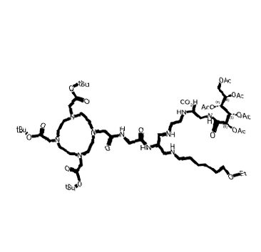 CCOCCCCCCNCC(CNCCNC(CNC(=O)[C@H](OC(C)=O)[C@@H](OC(C)=O)[C@H](OC(C)=O)[C@@H](COC(C)=O)OC(C)=O)C(=O)O)NC(=O)CNC(=O)CN1CCN(CC(=O)OC(C)(C)C)CCN(CC(=O)OC(C)(C)C)CCN(CC(=O)OC(C)(C)C)CC1